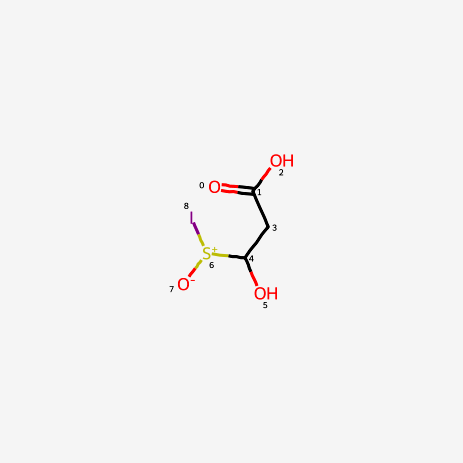 O=C(O)CC(O)[S+]([O-])I